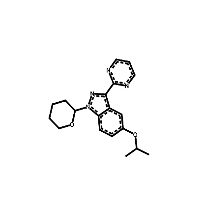 CC(C)Oc1ccc2c(c1)c(-c1ncccn1)nn2C1CCCCO1